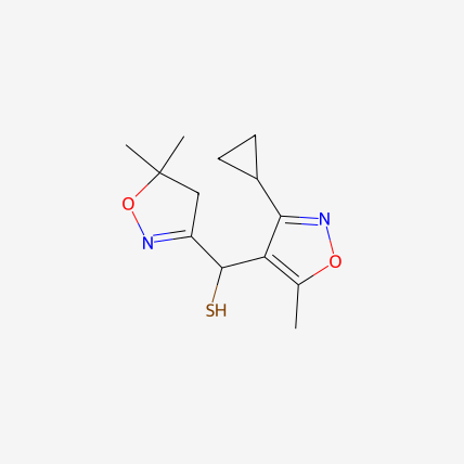 Cc1onc(C2CC2)c1C(S)C1=NOC(C)(C)C1